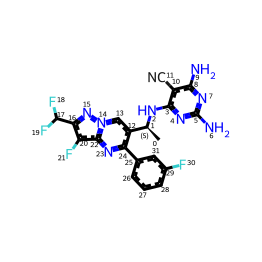 C[C@H](Nc1nc(N)nc(N)c1C#N)c1cn2nc(C(F)F)c(F)c2nc1-c1cccc(F)c1